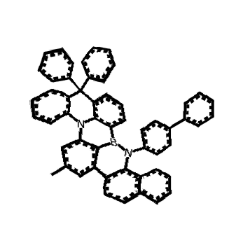 Cc1cc2c3c(c1)N1c4ccccc4C(c4ccccc4)(c4ccccc4)c4cccc(c41)B3N(c1ccc(-c3ccccc3)cc1)c1c-2ccc2ccccc12